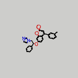 Cc1cccc(-c2cc(=O)oc3cc(OC(Cn4ccnc4)c4ccccc4)ccc23)c1